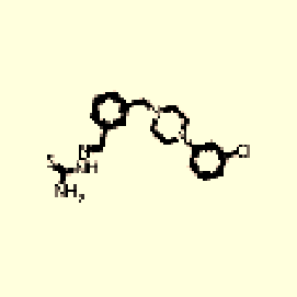 NC(=S)NN=Cc1cccc(CN2CCN(c3cccc(Cl)c3)CC2)c1